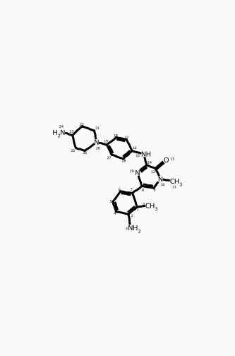 Cc1c(N)cccc1-c1cn(C)c(=O)c(Nc2ccc(N3CCC(N)CC3)cc2)n1